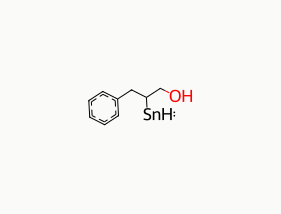 OC[CH]([SnH])Cc1ccccc1